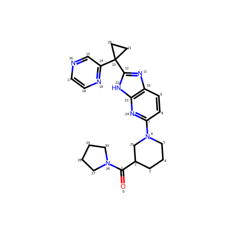 O=C(C1CCCN(c2ccc3nc(C4(c5cnccn5)CC4)[nH]c3n2)C1)N1CCCC1